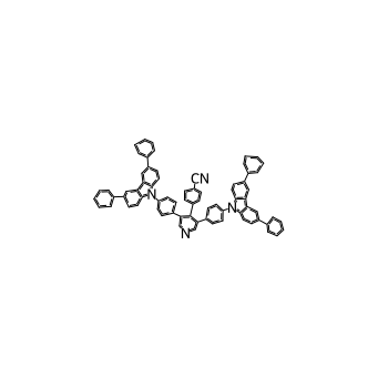 N#Cc1ccc(-c2c(-c3ccc(-n4c5ccc(-c6ccccc6)cc5c5cc(-c6ccccc6)ccc54)cc3)cncc2-c2ccc(-n3c4ccc(-c5ccccc5)cc4c4cc(-c5ccccc5)ccc43)cc2)cc1